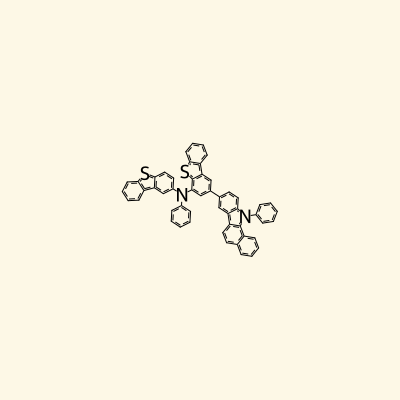 c1ccc(N(c2ccc3sc4ccccc4c3c2)c2cc(-c3ccc4c(c3)c3ccc5ccccc5c3n4-c3ccccc3)cc3c2sc2ccccc23)cc1